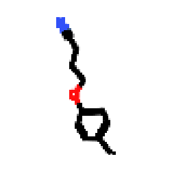 [CH2]c1ccc(OCCCC#N)cc1